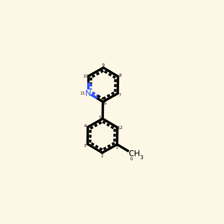 Cc1cccc(-c2ccc[c]n2)c1